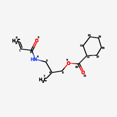 C=CC(=O)NCC(C)COC(=O)C1CCCCC1